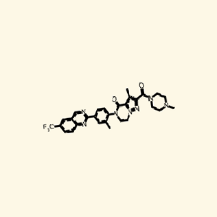 Cc1cc(-c2ncc3cc(C(F)(F)F)ccc3n2)ccc1N1CCn2nc(C(=O)N3CCN(C)CC3)c(C)c2C1=O